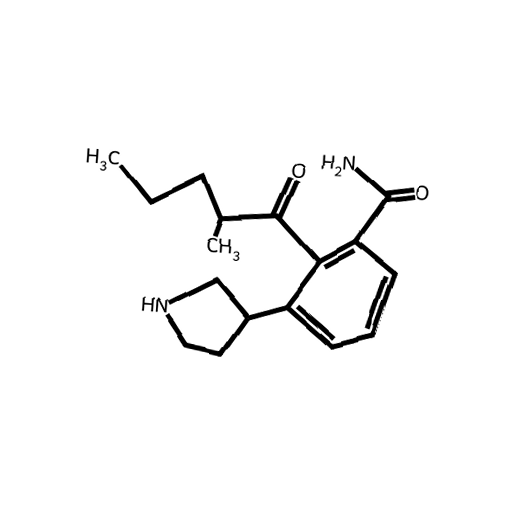 CCCC(C)C(=O)c1c(C(N)=O)cccc1C1CCNC1